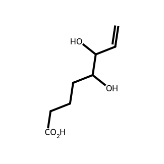 C=CC(O)C(O)CCCC(=O)O